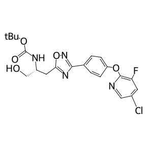 CC(C)(C)OC(=O)N[C@@H](CO)Cc1nc(-c2ccc(Oc3ncc(Cl)cc3F)cc2)no1